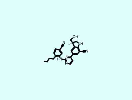 CCCCc1ccc(C#N)cc1Nc1nccc(-c2cc(C#N)c3c(c2)[C@@](C)(CO)CN3)n1